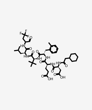 Cc1ccccc1C[C@H](NC(=O)[C@H](CCC(=O)O)NC(=O)[C@H](CC(=O)O)NC(=O)CC1CCCCC1)C(=O)N[C@H](C(=O)N[C@@H](CC(C)C)C(=O)NC(C=O)CC(F)(F)F)C(C)(C)C